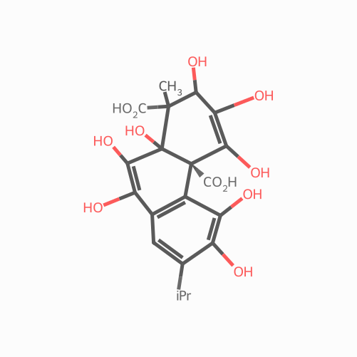 CC(C)c1cc2c(c(O)c1O)[C@@]1(C(=O)O)C(O)=C(O)C(O)C(C)(C(=O)O)C1(O)C(O)=C2O